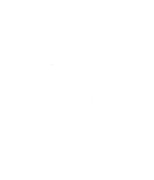 Cc1cc([N+](=O)[O-])ccc1N1CCCCCC1C=O